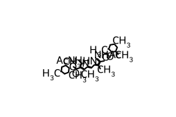 CC(=O)NC1=N/C(=C\c2[nH]c(NC(C)=O)c(COOC3C(C)CC(C)CC3C)c2C)C(C)=C1C(=O)OC1C(C)CC(C)CC1C